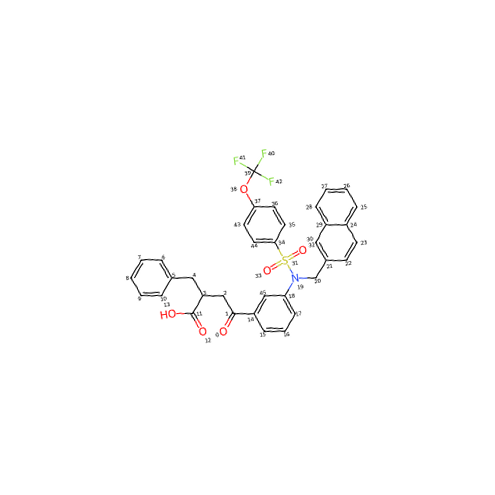 O=C(CC(Cc1ccccc1)C(=O)O)c1cccc(N(Cc2ccc3ccccc3c2)S(=O)(=O)c2ccc(OC(F)(F)F)cc2)c1